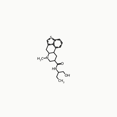 CCC(CO)NC(=O)C1CC2c3cccc4scc(c34)CC2N(C)C1